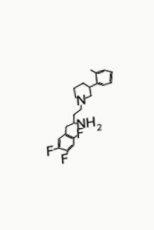 Cc1ccccc1C1CCCN(CCC(N)Cc2cc(F)c(F)cc2F)C1